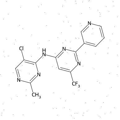 Cc1ncc(Cl)c(Nc2cc(C(F)(F)F)nc(-c3cccnc3)n2)n1